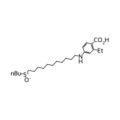 CCCC[S+]([O-])CCCCCCCCCCCNc1ccc(C(=O)O)c(CC)c1